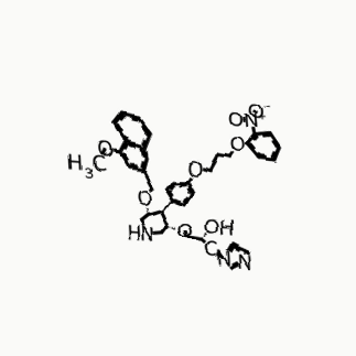 COc1cc(CO[C@H]2CNC[C@@H](OC[C@H](O)Cn3ccnc3)[C@@H]2c2ccc(OCCCOc3ccccc3[N+](=O)[O-])cc2)cc2ccccc12